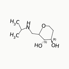 CC(C)NCC1OCC[C@@H](O)[C@@H]1O